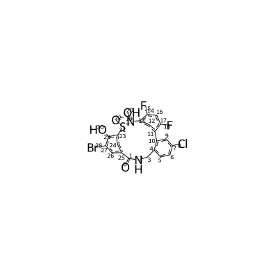 O=C1NCc2ccc(Cl)cc2-c2cc(c(F)cc2F)N(O)[S+]([O-])c2cc1cc(Br)c2O